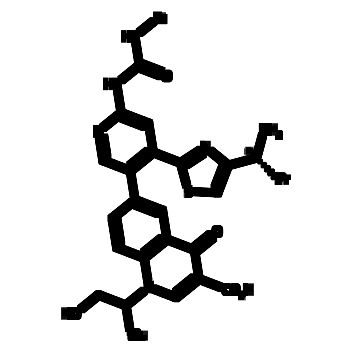 CCNC(=O)Nc1cc(-c2nc([C@H](N)C(C)C)cs2)c(-c2ccc3c(c2)c(=O)c(C(=O)O)cn3C(CO)C(C)(C)C)cn1